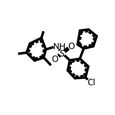 Cc1cc(C)c(NS(=O)(=O)c2ccc(Cl)cc2-c2ccccc2)c(C)c1